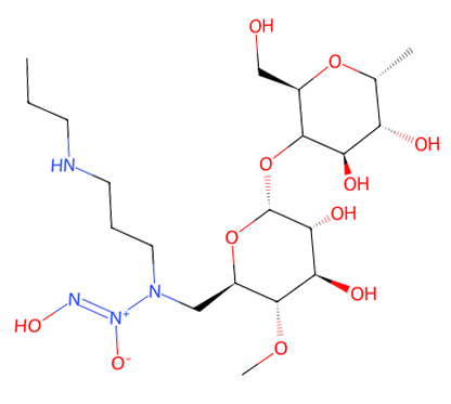 CCCNCCCN(C[C@H]1O[C@H](OC2[C@@H](CO)O[C@H](C)[C@H](O)[C@H]2O)[C@H](O)[C@@H](O)[C@@H]1OC)/[N+]([O-])=N/O